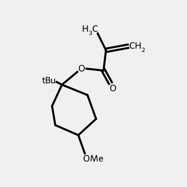 C=C(C)C(=O)OC1(C(C)(C)C)CCC(OC)CC1